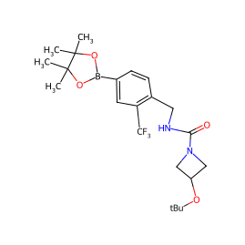 CC(C)(C)OC1CN(C(=O)NCc2ccc(B3OC(C)(C)C(C)(C)O3)cc2C(F)(F)F)C1